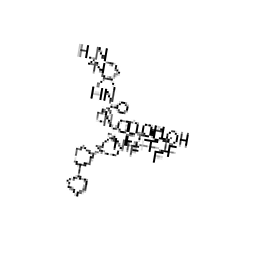 Cc1nc(N)ccc1CNC(=O)[C@@H]1CCN1C(=O)[C@H]1C[C@@H](c2cccc(-c3ccccc3)c2)CCN1.O=C(O)C(F)(F)F.O=C(O)C(F)(F)F